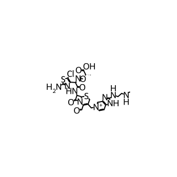 CNCCNc1nc2c[n+](CC3=C(C=O)N4C(=O)C(NC(=O)/C(=N\O[C@@H](C)C(=O)O)c5nc(N)sc5Cl)C4SC3)ccc2[nH]1